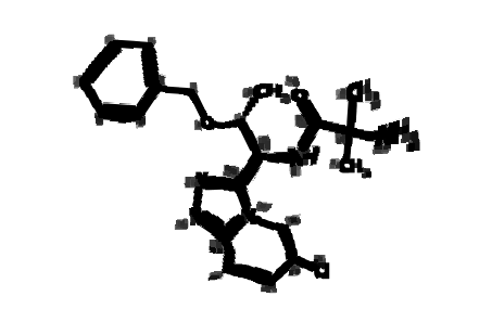 C[C@@H](OCc1ccccc1)[C@@H](NC(=O)C(C)(C)N)c1nnc2ccc(Cl)cn12